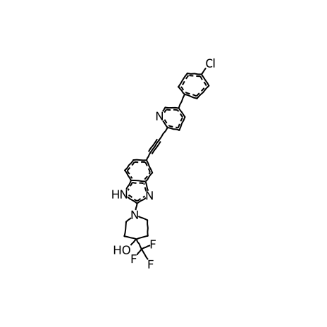 OC1(C(F)(F)F)CCN(c2nc3cc(C#Cc4ccc(-c5ccc(Cl)cc5)cn4)ccc3[nH]2)CC1